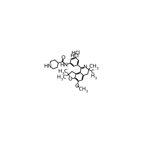 COc1cc2c(c3c1OC(C)(C)C3)C(c1cccc(NC(=O)C3CCNCC3)c1)=NC(C)(C)C2.Cl.Cl